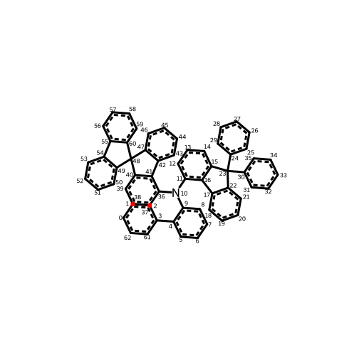 c1ccc(-c2ccccc2N(c2cccc3c2-c2ccccc2C3(c2ccccc2)c2ccccc2)c2cccc3c2-c2ccccc2C32c3ccccc3-c3ccccc32)cc1